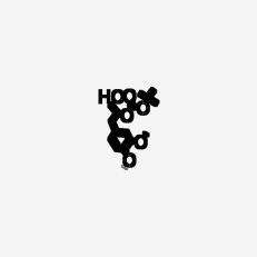 COc1ccc(CC(CO)OC(=O)OC(C)(C)C)cc1OC